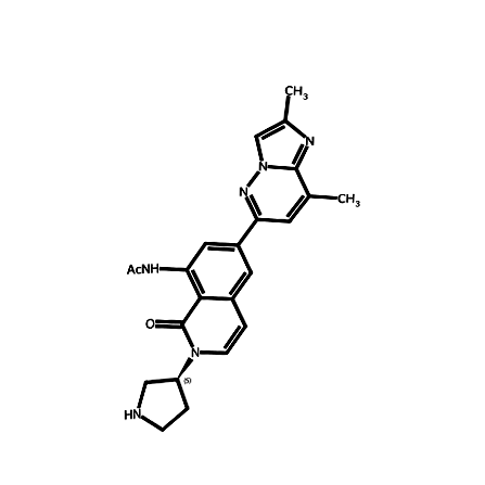 CC(=O)Nc1cc(-c2cc(C)c3nc(C)cn3n2)cc2ccn([C@H]3CCNC3)c(=O)c12